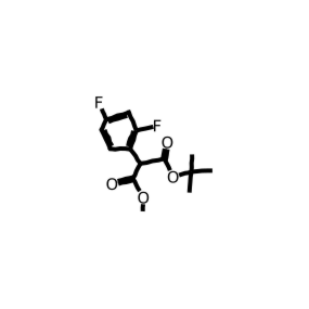 COC(=O)C(C(=O)OC(C)(C)C)c1ccc(F)cc1F